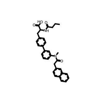 CCCC(=O)NC(Cc1ccc(-c2cccc(N(C)C(=O)Cc3ccc4ccccc4c3)c2)cc1)C(=O)O